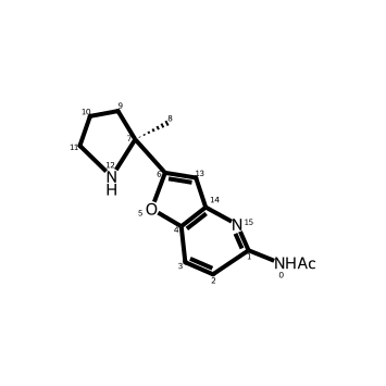 CC(=O)Nc1ccc2oc([C@]3(C)CCCN3)cc2n1